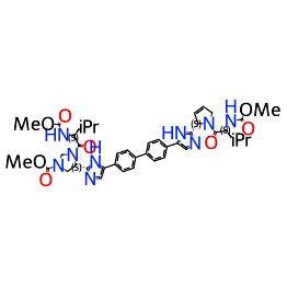 COC(=O)N[C@H](C(=O)N1CC=C[C@H]1c1ncc(-c2ccc(-c3ccc(-c4cnc([C@@H]5CN(C(=O)OC)CN5C(=O)[C@@H](NC(=O)OC)C(C)C)[nH]4)cc3)cc2)[nH]1)C(C)C